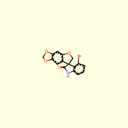 O=C1Nc2cccc(Br)c2C12COc1cc3c(cc12)OCO3